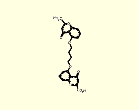 O=C(O)c1cc(=O)c2c(OCCCCOc3cccc4oc(C(=O)O)cc(=O)c34)cccc2o1